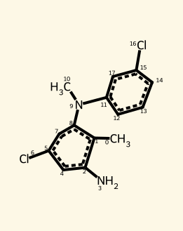 Cc1c(N)cc(Cl)cc1N(C)c1cccc(Cl)c1